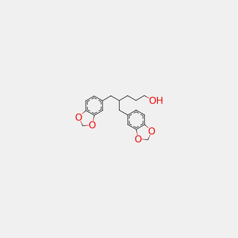 OCCCC(Cc1ccc2c(c1)OCO2)Cc1ccc2c(c1)OCO2